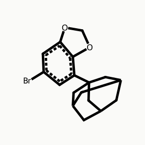 Brc1cc2c(c(C34CC5CC(CC(C5)C3)C4)c1)OCO2